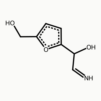 N=CC(O)c1ccc(CO)o1